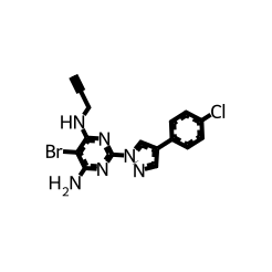 C#CCNc1nc(-n2cc(-c3ccc(Cl)cc3)cn2)nc(N)c1Br